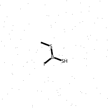 CSB(S)I